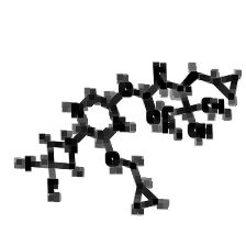 CC(C)(O)[C@H](CC1CC1)NC(=O)Oc1cnc(N2CC(F)(F)C2)c(OCC2CC2)n1